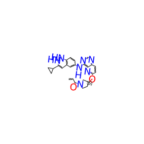 C=CC(=O)N1CC[C@H](Oc2ccc3ncnc(Nc4ccc5c(c4)C=C(C4CC4)NN5)c3n2)C1